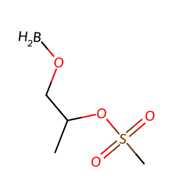 BOCC(C)OS(C)(=O)=O